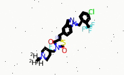 [2H]C([2H])([2H])N1CCC(F)(CN2C(=O)S/C(=C\c3ccc4c(cnn4Cc4ccc(Cl)cc4C(F)(F)F)c3)C2=O)CC1